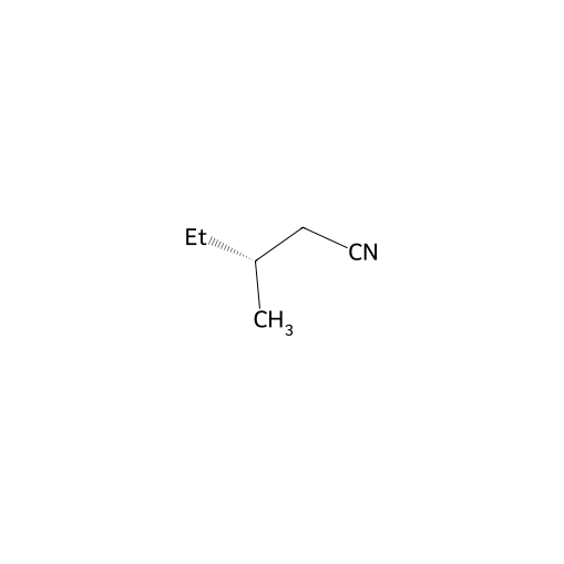 CC[C@@H](C)CC#N